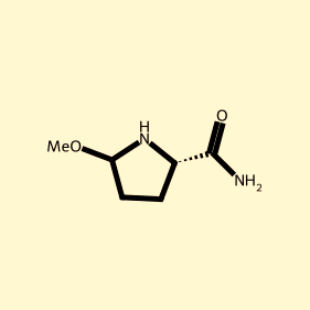 COC1CC[C@@H](C(N)=O)N1